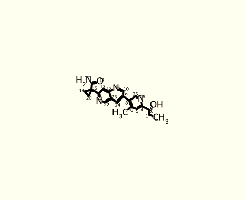 CC[C@@H](O)c1cc(C)c(-c2cnc3cc(C4(C(N)=O)CC4)ncc3c2)cn1